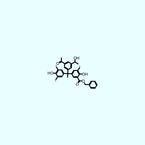 CC(=O)c1cc(C(C)O)cc(C(C)(c2cc(I)c(O)c(I)c2)c2cc(I)c(O)c(C(=O)OCc3ccccc3)c2)c1